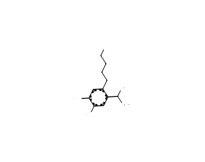 CCCCCC(O)c1cc(OC)c(OC)cc1CCCCC(=O)O